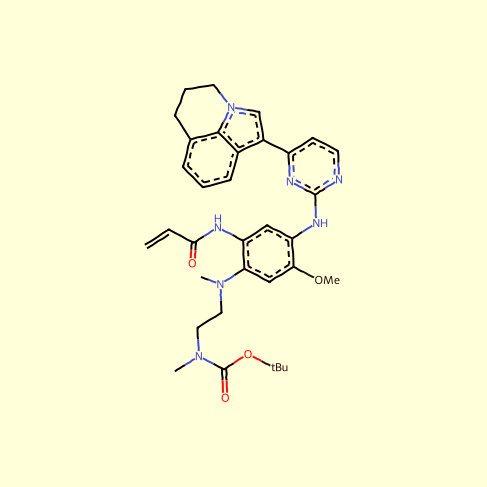 C=CC(=O)Nc1cc(Nc2nccc(-c3cn4c5c(cccc35)CCC4)n2)c(OC)cc1N(C)CCN(C)C(=O)OC(C)(C)C